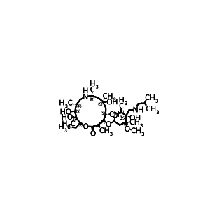 CC[C@@H]1OC(=O)[C@H](C)[C@H](OC2C[C@@](C)(OC)[C@](O)(CNCC(C)C)[C@H](C)O2)[C@@H](C)C[C@](C)(O)C[C@@H](C)NC[C@@H](C)[C@H](O)[C@]1(C)O